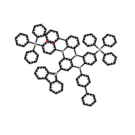 c1ccc(-c2ccc(N3c4ccc([Si](c5ccccc5)(c5ccccc5)c5ccccc5)cc4B4c5cccc(-c6ccccc6)c5N(c5ccc([Si](c6ccccc6)(c6ccccc6)c6ccccc6)cc5)c5cc(-n6c7ccccc7c7ccccc76)cc3c54)cc2)cc1